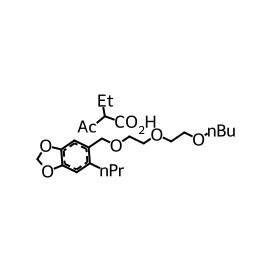 CCC(C(C)=O)C(=O)O.CCCCOCCOCCOCc1cc2c(cc1CCC)OCO2